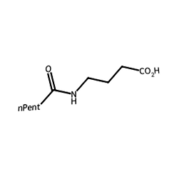 CCCCCC(=O)NCCCC(=O)O